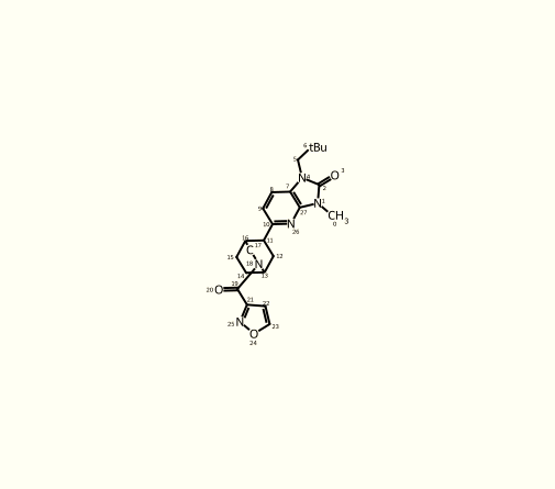 Cn1c(=O)n(CC(C)(C)C)c2ccc(C3CC4CCC3CN4C(=O)c3ccon3)nc21